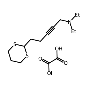 CCN(CC)CC#CCCC1SCCCS1.O=C(O)C(=O)O